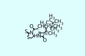 CC(C(=O)N1CCSC1=S)[C@H]1NC(=O)[C@@H]1[C@@H](C)O[Si](C)(C)C(C)(C)C